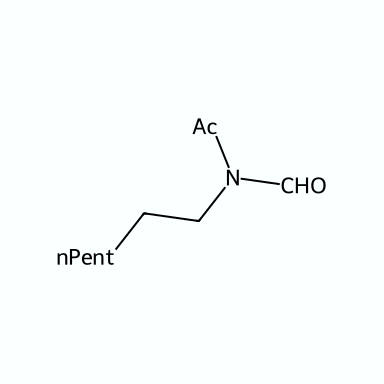 CCCCCCCN(C=O)C(C)=O